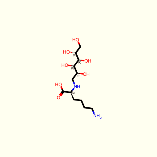 NCCCC[C@H](NC[C@H](O)[C@@H](O)[C@H](O)[C@H](O)CO)C(=O)O